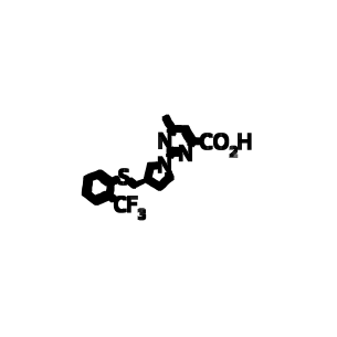 Cc1cc(C(=O)O)nc(N2CC[C@@H](CSc3ccccc3C(F)(F)F)C2)n1